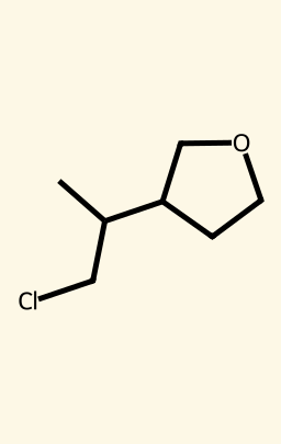 CC(CCl)C1CCOC1